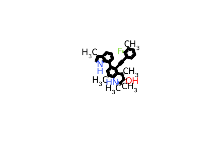 Cc1cccc(C#Cc2c(-c3cccc4c(C)c[nH]c34)cc(C)c3c2[C@@H](C)[C@H](O)C(C)(C)N3)c1F